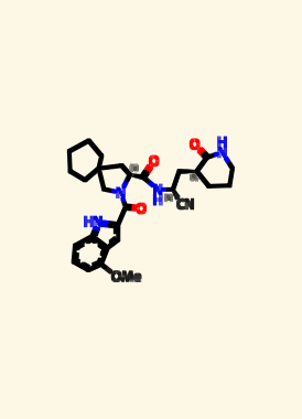 COc1cccc2[nH]c(C(=O)N3CC4(CCCCC4)C[C@H]3C(=O)N[C@H](C#N)C[C@@H]3CCCNC3=O)cc12